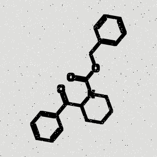 O=C(c1ccccc1)C1CCCCN1C(=O)OCc1ccccc1